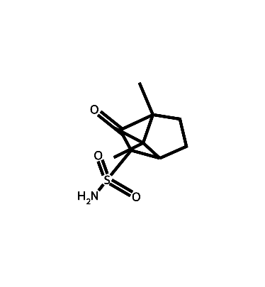 CC12CCC(C(S(N)(=O)=O)C1=O)C2(C)C